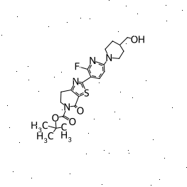 CC(C)(C)OC(=O)N1CCc2nc(-c3ccc(N4CCC(CO)CC4)nc3F)sc2C1=O